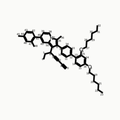 C#CC#CC(CC)c1c(-c2ccc(-c3ccc(OCCCCCC)cc3OCCCCCC)cc2)c(C)n2ccc(-c3ccc(C)cc3C)cc12